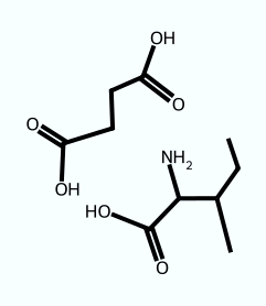 CCC(C)C(N)C(=O)O.O=C(O)CCC(=O)O